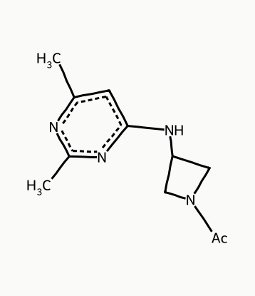 CC(=O)N1CC(Nc2cc(C)nc(C)n2)C1